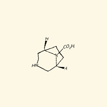 O=C(O)N1[C@@H]2CC[C@H]1CNC2